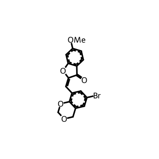 COc1ccc2c(c1)OC(=Cc1cc(Br)cc3c1OCOC3)C2=O